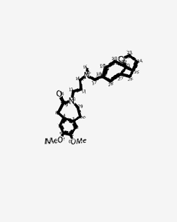 COc1cc2c(cc1OC)CC(=O)N(CCCN(C)CC1=CCC34OCC=C3CC4=C1)CC2